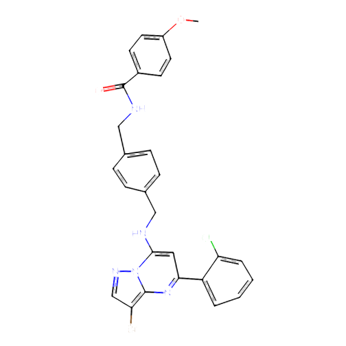 COc1ccc(C(=O)NCc2ccc(CNc3cc(-c4ccccc4Cl)nc4c(Br)cnn34)cc2)cc1